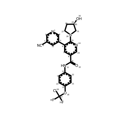 N#Cc1cncc(-c2cc(C(=O)Nc3ccc(OC(F)(F)Cl)cc3)cnc2N2CC[C@@H](O)C2)c1